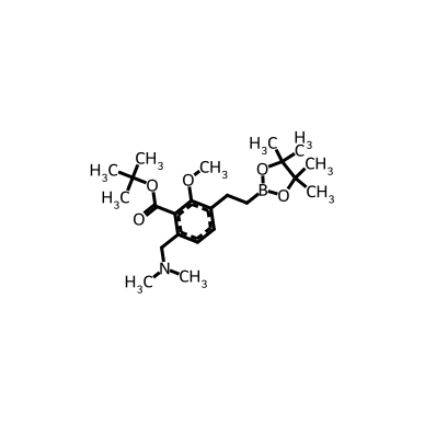 COc1c(CCB2OC(C)(C)C(C)(C)O2)ccc(CN(C)C)c1C(=O)OC(C)(C)C